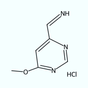 COc1cc(C=N)ncn1.Cl